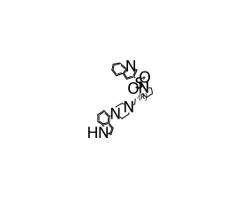 O=S(=O)(c1cnc2ccccc2c1)N1CCC[C@@H]1CCN1CCN(c2cccc3[nH]ccc23)CC1